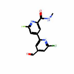 CNC(=O)c1cc(-c2cc(C=O)cc(Cl)n2)cc(F)n1